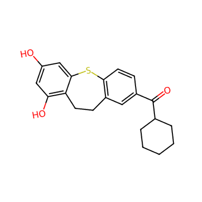 O=C(c1ccc2c(c1)CCc1c(O)cc(O)cc1S2)C1CCCCC1